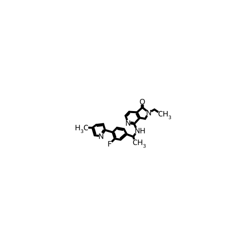 CCN1Cc2c(ccnc2NC(C)c2ccc(-c3ccc(C)cn3)c(F)c2)C1=O